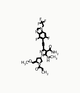 C=CC(=O)N1C[C@@H](n2nc(C#Cc3c(F)cc4c(ncn4CC(F)(F)F)c3F)c(C(N)=O)c2NC)C/C1=C\OC